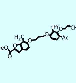 C=CCOc1c(C(C)=O)ccc(OCCCOc2ccc3cc(C(=O)OC)oc3c2C)c1CCC